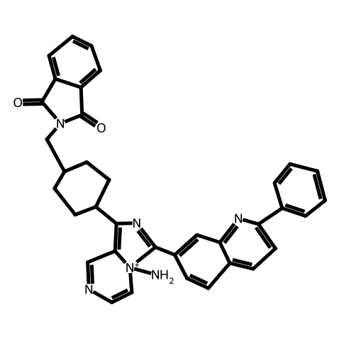 N[N+]12C=CN=CC1=C(C1CCC(CN3C(=O)c4ccccc4C3=O)CC1)N=C2c1ccc2ccc(-c3ccccc3)nc2c1